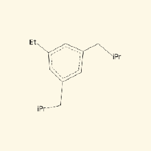 CCc1cc(CC(C)C)cc(CC(C)C)c1